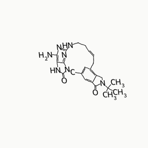 CC(C)(C)N1Cc2c3cc(cc2C1=O)Cn1c(=O)[nH]c2c(N)nc(nc21)NCC/C=C/C3